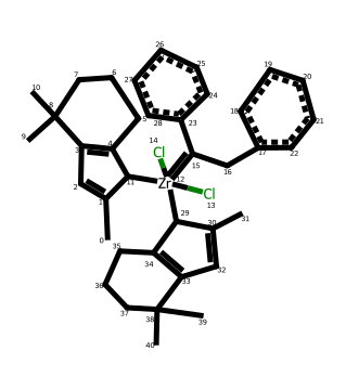 CC1=CC2=C(CCCC2(C)C)[CH]1[Zr]([Cl])([Cl])(=[C](Cc1ccccc1)c1ccccc1)[CH]1C(C)=CC2=C1CCCC2(C)C